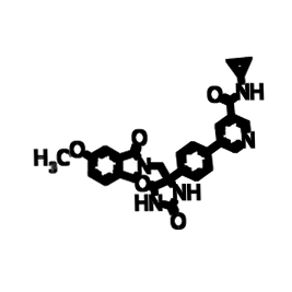 COc1ccc2c(c1)C(=O)N(CC1(c3ccc(-c4cncc(C(=O)NC5CC5)c4)cc3)NC(=O)NC1=O)C2